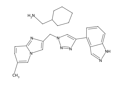 Cc1ccc2nc(Cn3cc(-c4cccc5[nH]ncc45)nn3)cn2c1.NCC1CCCCC1